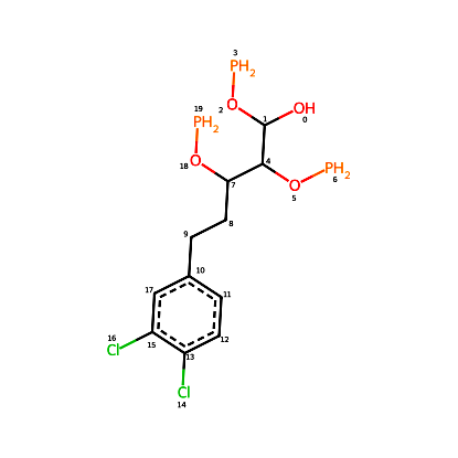 OC(OP)C(OP)C(CCc1ccc(Cl)c(Cl)c1)OP